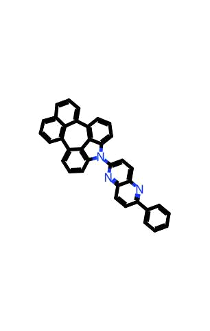 c1ccc(-c2ccc3nc(-n4c5cccc6c5c5c(cccc54)-c4cccc5cccc-6c45)ccc3n2)cc1